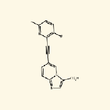 Cc1ccc(F)c(C#Cc2ccc3ncc(C(=O)O)n3c2)n1